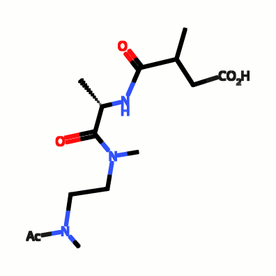 CC(=O)N(C)CCN(C)C(=O)[C@H](C)NC(=O)C(C)CC(=O)O